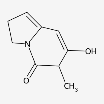 CC1C(=O)N2CCC=C2C=C1O